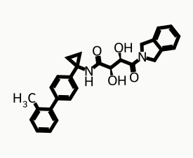 Cc1ccccc1-c1ccc(C2(NC(=O)[C@H](O)[C@@H](O)C(=O)N3Cc4ccccc4C3)CC2)cc1